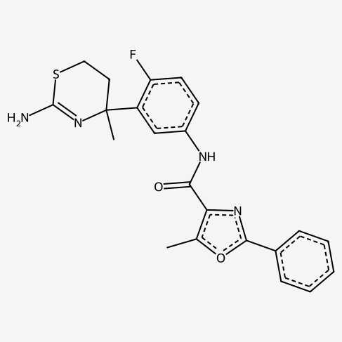 Cc1oc(-c2ccccc2)nc1C(=O)Nc1ccc(F)c(C2(C)CCSC(N)=N2)c1